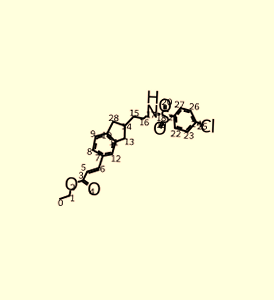 CCOC(=O)/C=C/c1ccc2c(c1)CC(CCNS(=O)(=O)c1ccc(Cl)cc1)C2